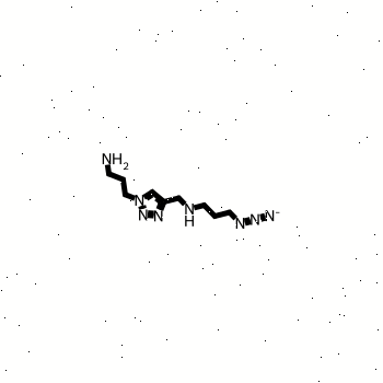 [N-]=[N+]=NCCCNCc1cn(CCCN)nn1